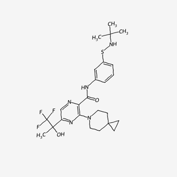 CC(C)(C)NSc1cccc(NC(=O)c2ncc(C(C)(O)C(F)(F)F)nc2N2CCC3(CC2)CC3)c1